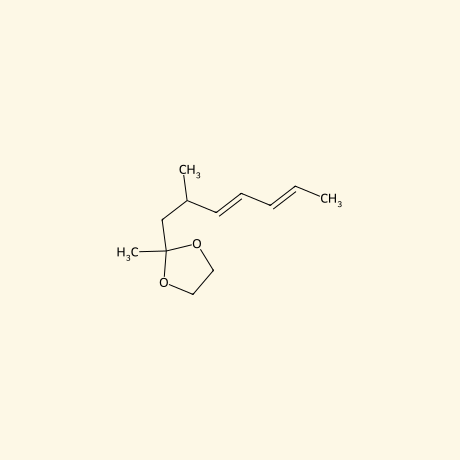 CC=CC=CC(C)CC1(C)OCCO1